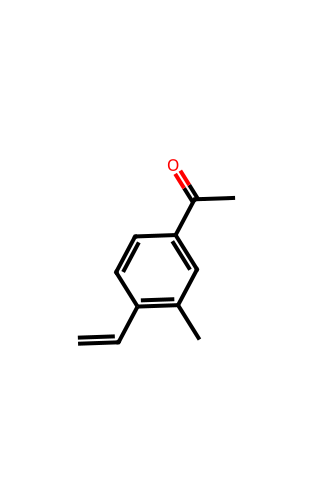 C=Cc1ccc(C(C)=O)cc1C